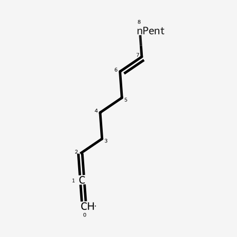 [CH]=C=CCCCC=CCCCCC